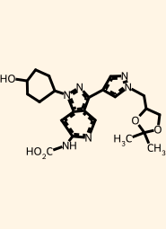 CC1(C)OCC(Cn2cc(-c3nn(C4CCC(O)CC4)c4cc(NC(=O)O)ncc34)cn2)O1